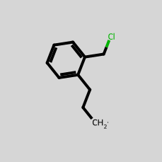 [CH2]CCc1ccccc1CCl